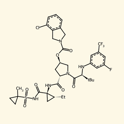 CC[C@@H]1C[C@]1(NC(=O)[C@@H]1C[C@@H](OC(=O)N2Cc3cccc(Cl)c3C2)CN1C(=O)[C@@H](Nc1cc(F)cc(C(F)(F)F)c1)C(C)(C)C)C(=O)NS(=O)(=O)C1(C)CC1